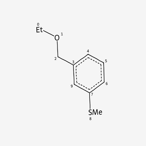 [CH2]COCc1cccc(SC)c1